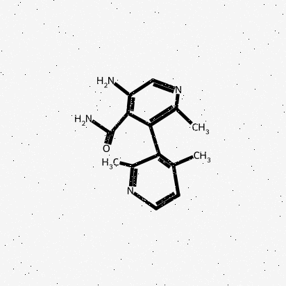 Cc1ccnc(C)c1-c1c(C)ncc(N)c1C(N)=O